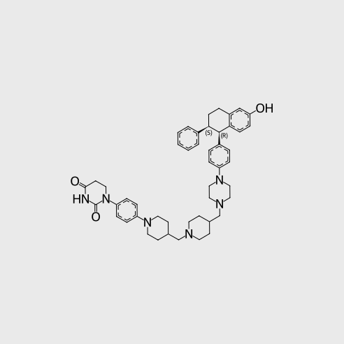 O=C1CCN(c2ccc(N3CCC(CN4CCC(CN5CCN(c6ccc([C@@H]7c8ccc(O)cc8CC[C@@H]7c7ccccc7)cc6)CC5)CC4)CC3)cc2)C(=O)N1